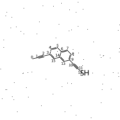 CC#Cc1ccc2ccc(C#CS)cc2c1